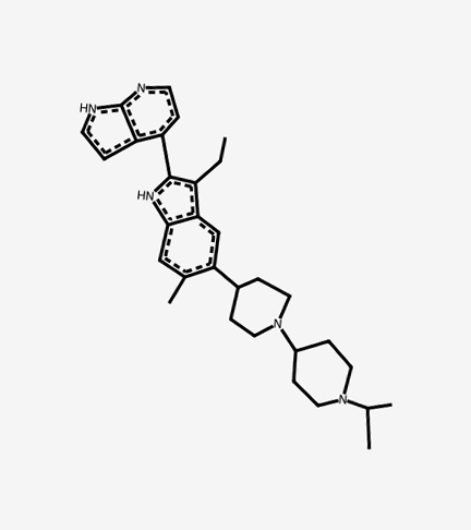 CCc1c(-c2ccnc3[nH]ccc23)[nH]c2cc(C)c(C3CCN(C4CCN(C(C)C)CC4)CC3)cc12